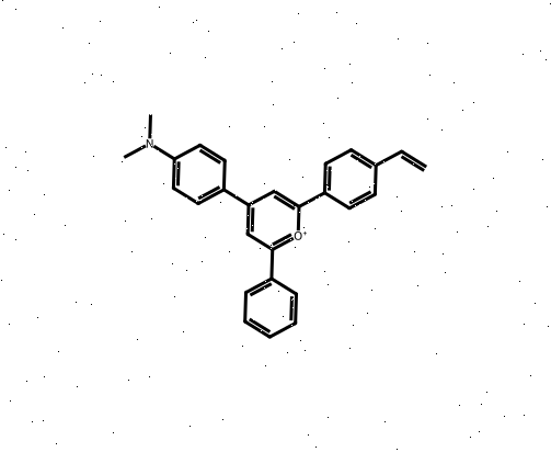 C=Cc1ccc(-c2cc(-c3ccc(N(C)C)cc3)cc(-c3ccccc3)[o+]2)cc1